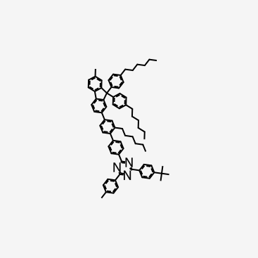 CCCCCCc1ccc(C2(c3ccc(CCCCCC)cc3)c3cc(C)ccc3-c3ccc(-c4ccc(-c5ccc(-c6nc(-c7ccc(C)cc7)nc(-c7ccc(C(C)(C)C)cc7)n6)cc5)c(CCCCCC)c4)cc32)cc1